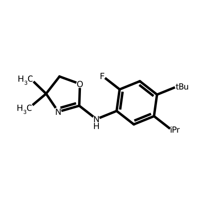 CC(C)c1cc(NC2=NC(C)(C)CO2)c(F)cc1C(C)(C)C